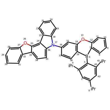 CC(C)c1cc(C(C)C)c(B2c3ccccc3Oc3cc(-n4c5ccccc5c5c6oc7ccccc7c6ccc54)ccc32)c(C(C)C)c1